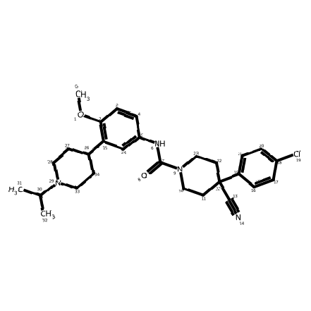 COc1ccc(NC(=O)N2CCC(C#N)(c3ccc(Cl)cc3)CC2)cc1C1CCN(C(C)C)CC1